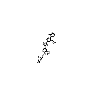 COCc1cc(-c2nc(-c3cnc(NCCC(=O)OC(C)(C)C)c(Cl)c3)no2)ccc1-c1cccc(F)c1C